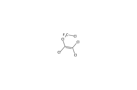 ClC(Cl)=C(Cl)Cl.FC(F)(F)Cl